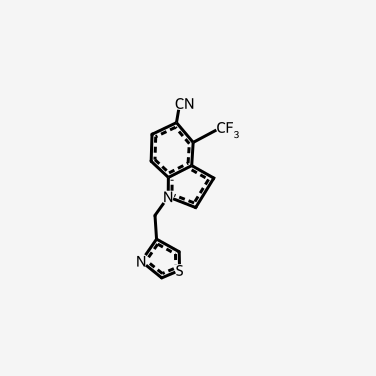 N#Cc1ccc2c(ccn2Cc2cscn2)c1C(F)(F)F